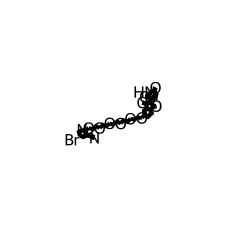 N#Cc1cc(Br)cnc1OCCOCCOCCOCCOCCOc1ccc2c(c1)C(=O)N(C1CCC(=O)NC1=O)C2=O